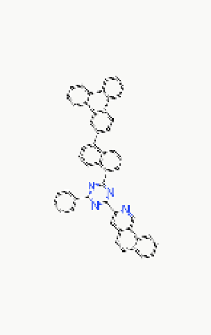 c1ccc(-c2nc(-c3cc4ccc5ccccc5c4cn3)nc(-c3cccc4c(-c5ccc6c7ccccc7c7ccccc7c6c5)cccc34)n2)cc1